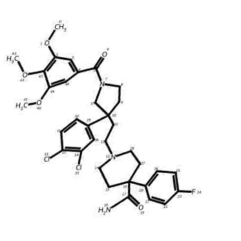 COc1cc(C(=O)N2CCC(CCN3CCC(C(N)=O)(c4ccc(F)cc4)CC3)(c3ccc(Cl)c(Cl)c3)C2)cc(OC)c1OC